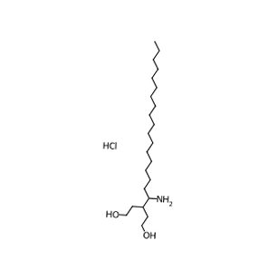 CCCCCCCCCCCCCCCCCC(N)C(CCO)CCO.Cl